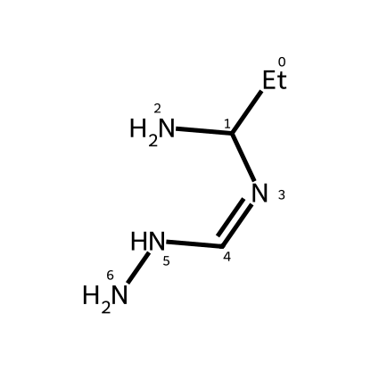 CCC(N)/N=C\NN